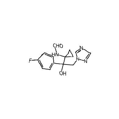 O=CNC1(C(O)(Cn2cncn2)c2ccc(F)cc2)CC1